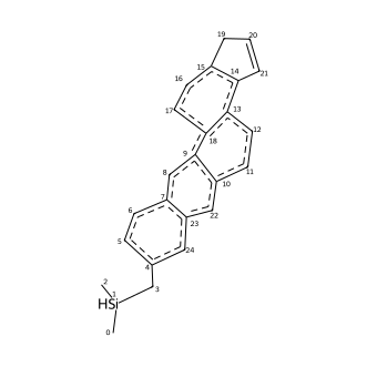 C[SiH](C)Cc1ccc2cc3c(ccc4c5c(ccc43)CC=C5)cc2c1